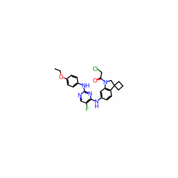 CCOc1ccc(Nc2ncc(F)c(Nc3ccc4c(c3)N(C(=O)CCl)CC43CCC3)n2)cc1